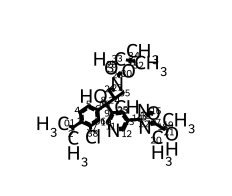 CC(C)c1ccc([C@](O)(c2cncc(-c3noc(C(C)(C)O)n3)c2)C2(C)CN(C(=O)OC(C)(C)C)C2)cc1Cl